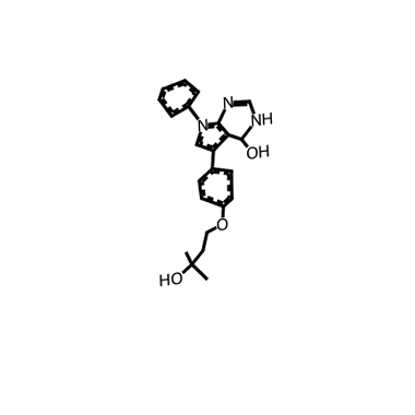 CC(C)(O)CCOc1ccc(-c2cn(-c3ccccc3)c3c2C(O)NC=N3)cc1